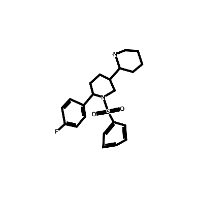 O=S(=O)(c1ccccc1)N1CC(C2CCCC[N]2)CCC1c1ccc(F)cc1